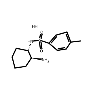 Cc1ccc(S(=O)(=O)N[C@H]2CCCC[C@@H]2N)cc1.[HH]